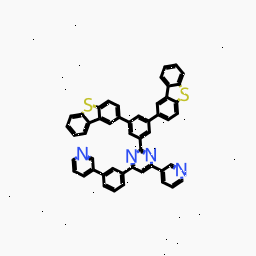 c1cncc(-c2cccc(-c3cc(-c4cccnc4)nc(-c4cc(-c5ccc6sc7ccccc7c6c5)cc(-c5ccc6sc7ccccc7c6c5)c4)n3)c2)c1